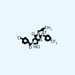 CC#CCn1c(N(CC)c2ccc(C(F)(F)F)cc2)nc2c(c1=O)CN(C(=O)c1ccc(Cl)cc1)CC2.Cl